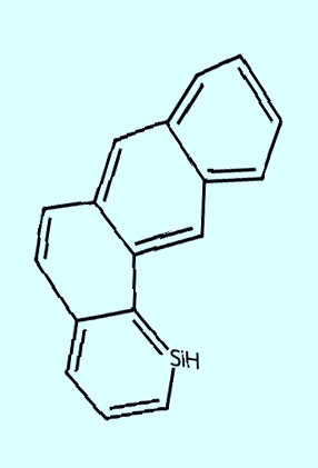 c1ccc2cc3c(ccc4ccc[siH]c43)cc2c1